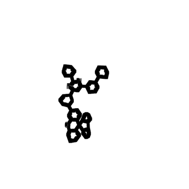 C1=CC(c2cc(-c3cccc(-c4ccccc4)c3)nc(-c3ccccc3)n2)CC(c2ccc3c(c2)Oc2ccccc2C32c3ccccc3-c3ccccc32)=C1